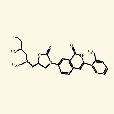 O=C(O)N(CC(O)CO)CC1CN(c2ccc3cc(-c4ccccc4C(F)(F)F)[nH]c(=O)c3c2)C(=O)O1